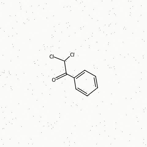 O=C([C](Cl)Cl)c1ccccc1